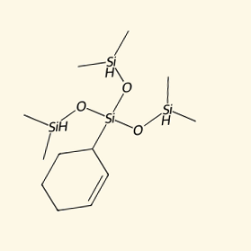 C[SiH](C)O[Si](O[SiH](C)C)(O[SiH](C)C)C1C=CCCC1